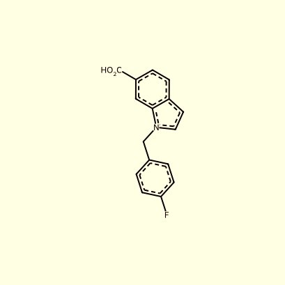 O=C(O)c1ccc2ccn(Cc3ccc(F)cc3)c2c1